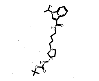 CC(C)n1cc(C(=O)NCCCCN2CC[C@H](CNC(=O)OC(C)(C)C)C2)c2ccccc21